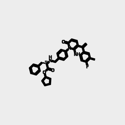 C=C(c1ccc(F)c(C)c1)c1ccc(=O)n(-c2ccc(CN[C@@H](Cc3ccccc3)C(=O)OC3CCCC3)cc2)c1N